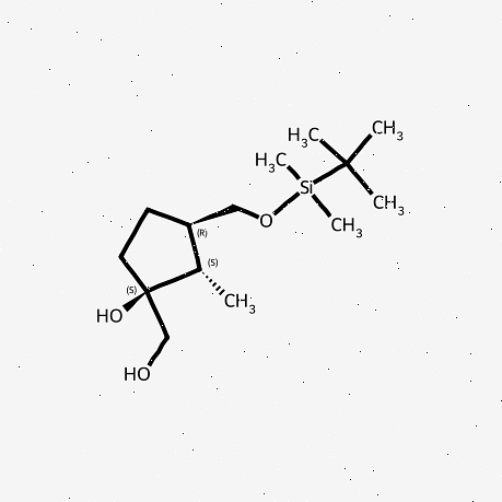 C[C@H]1[C@H](CO[Si](C)(C)C(C)(C)C)CC[C@@]1(O)CO